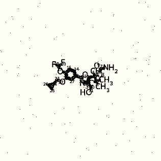 CC(C)(C)C(C)(OC(N)=O)c1oc(-c2ccc(OC(F)F)c(OCC3CC3)c2)nc1CO